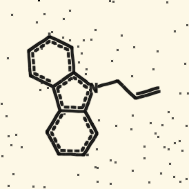 C=CCn1c2c[c]ccc2c2cc[c]cc21